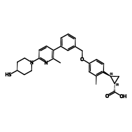 Cc1cc(OCc2cccc(-c3ccc(N4CCC(S)CC4)nc3C)c2)ccc1[C@H]1C[C@@H]1C(=O)O